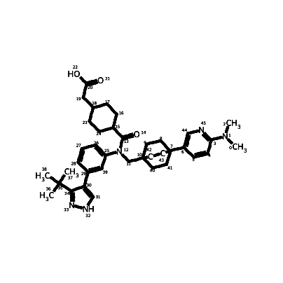 CN(C)c1ccc(C23CCC(CN(C(=O)C4CCC(CC(=O)O)CC4)c4cccc(-c5c[nH]nc5C(C)(C)C)c4)(CC2)CC3)cn1